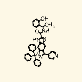 CC(NC(=O)c1nc2cc3c(-c4ccncc4)nn(C(c4ccccc4)(c4ccccc4)c4ccccc4)c3cc2[nH]1)c1ccccc1O